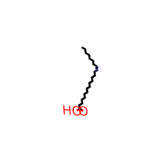 CCCCCCC/C=C\CCCCCCCCCCCCCC(=O)O